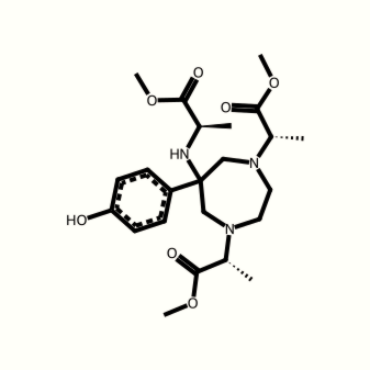 COC(=O)[C@@H](C)N1CCN([C@@H](C)C(=O)OC)CC(N[C@H](C)C(=O)OC)(c2ccc(O)cc2)C1